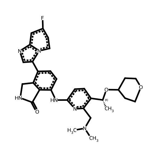 C[C@@H](OC1CCOCC1)c1ccc(Nc2ccc(-c3cnc4cc(F)ccn34)c3c2C(=O)NC3)nc1CN(C)C